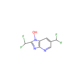 On1c(C(F)F)nc2ncc(C(F)F)cc21